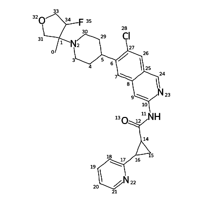 CC1(N2CCC(c3cc4cc(NC(=O)C5CC5c5ccccn5)ncc4cc3Cl)CC2)COCC1F